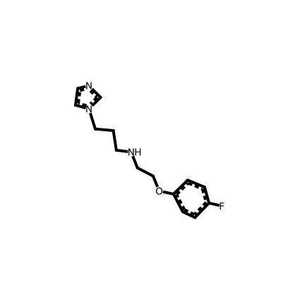 Fc1ccc(OCCNCCCn2ccnc2)cc1